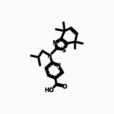 CC(C)CN(c1ccc(C(=O)O)cn1)c1nc2c(s1)C(C)(C)C=CC2(C)C